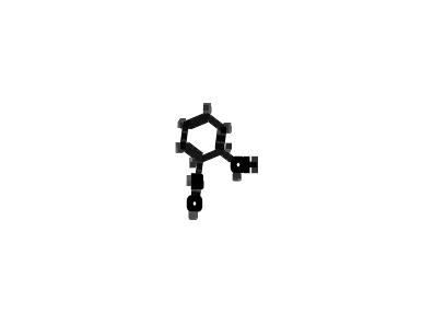 O=Bc1ccccc1O